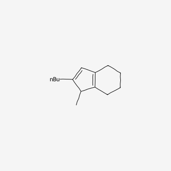 CCCCC1=CC2=C(CCCC2)C1C